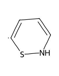 [C]1=CC=CNS1